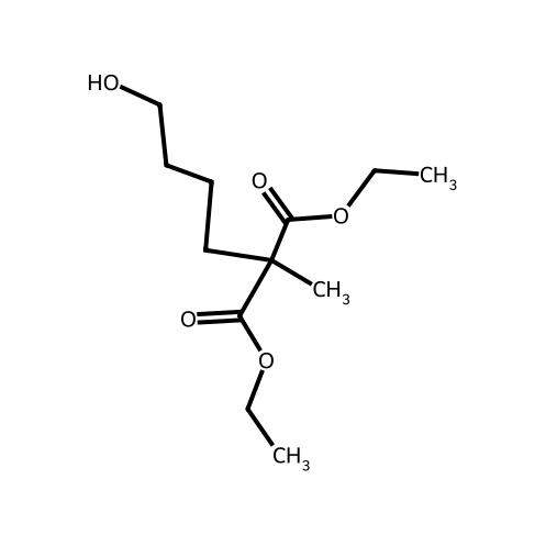 CCOC(=O)C(C)(CCCCO)C(=O)OCC